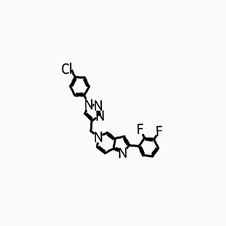 Fc1cccc(-c2cc3cn(Cc4cn(-c5ccc(Cl)cc5)nn4)ccc-3n2)c1F